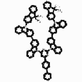 CC1(C)c2ccccc2-c2ccc(-n3c4ccccc4c4cc(-c5ccc6c(c5)c5ccccc5n6-c5cc(-c6ccc(-c7ccccc7)cc6)nc(-n6c7ccccc7c7cc(-c8ccc9c(c8)c8ccccc8n9-c8ccc9c(c8)C(C)(C)c8ccccc8-9)ccc76)n5)ccc43)cc21